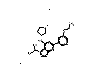 CCOc1cncc(-c2cc(N[C@@H]3CCOC3)c3c(cnn3C(C)C)n2)c1